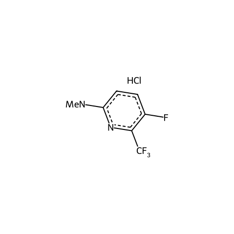 CNc1ccc(F)c(C(F)(F)F)n1.Cl